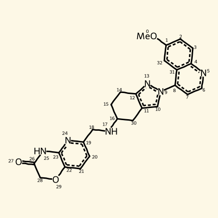 COc1ccc2nccc(-n3cc4c(n3)CCC(NCc3ccc5c(n3)NC(=O)CO5)C4)c2c1